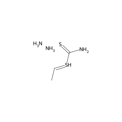 CC=[SH]C(N)=S.N.N